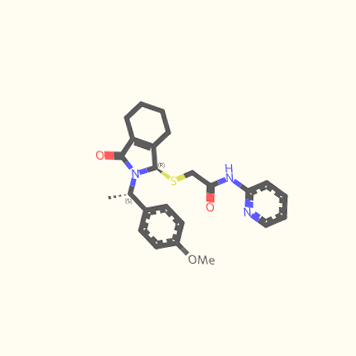 COc1ccc([C@H](C)N2C(=O)C3=C(CCCC3)[C@H]2SCC(=O)Nc2ccccn2)cc1